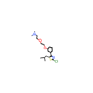 CC(C)Cc1sc(Cl)nc1-c1cccc(OCCOCCN(C)C)c1